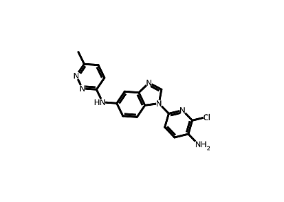 Cc1ccc(Nc2ccc3c(c2)ncn3-c2ccc(N)c(Cl)n2)nn1